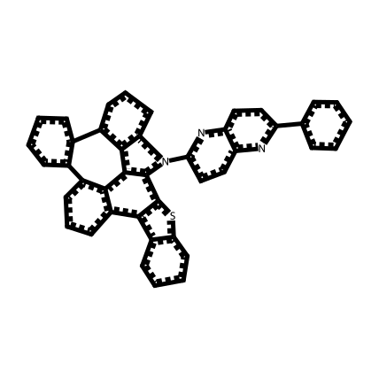 c1ccc(-c2ccc3nc(-n4c5cccc6c5c5c7c(cccc7c7c8ccccc8sc7c54)-c4ccccc4-6)ccc3n2)cc1